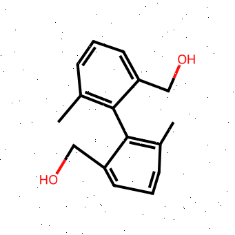 Cc1cccc(CO)c1-c1c(C)cccc1CO